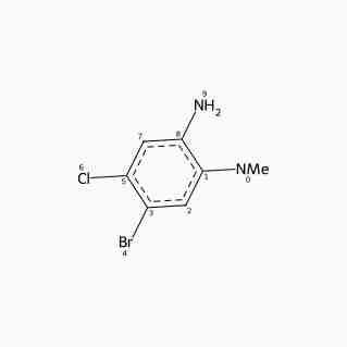 CNc1cc(Br)c(Cl)cc1N